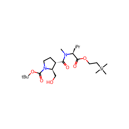 CC(C)[C@@H](C(=O)OCC[Si](C)(C)C)N(C)C(=O)[C@H]1CCN(C(=O)OC(C)(C)C)[C@@H]1CO